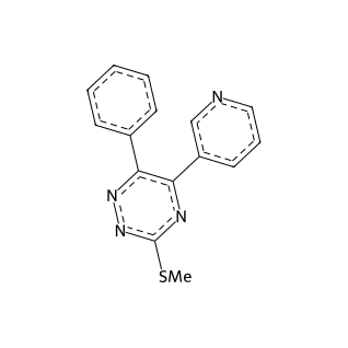 CSc1nnc(-c2ccccc2)c(-c2cccnc2)n1